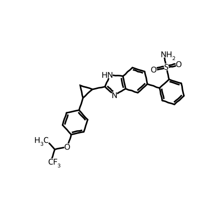 CC(Oc1ccc(C2CC2c2nc3cc(-c4ccccc4S(N)(=O)=O)ccc3[nH]2)cc1)C(F)(F)F